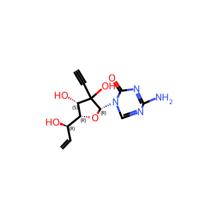 C#CC1(O)[C@@H](O)[C@@H]([C@H](O)C=C)O[C@H]1n1cnc(N)nc1=O